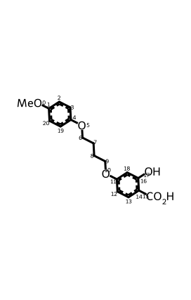 COc1ccc(OCCCCOc2ccc(C(=O)O)c(O)c2)cc1